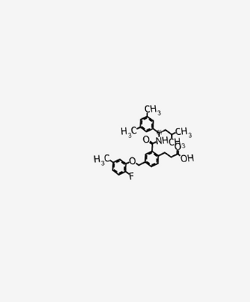 Cc1cc(C)cc([C@@H](CC(C)C)NC(=O)c2cc(COc3cc(C)ccc3F)ccc2CCC(=O)O)c1